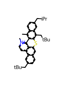 Cc1c2c(c(CC(C)(C)C)c3cc(CC(C)C)ccc13)Sc1cc3ccc(CC(C)(C)C)cc3c3cc[n+](C)c-2c13